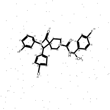 C[C@@H](NC(=O)N1CCC2(CC1)C(=O)N(c1cccc(F)c1)C2c1ccc(Cl)cc1)c1ccc(F)cc1